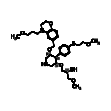 COCCCN1CCOc2ccc(CO[C@H]3CNC[C@@H](OC[C@H](O)COC)[C@@H]3c3ccc(SCCOC)cc3)cc21